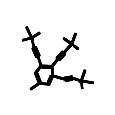 Cc1cc(C#C[Si](C)(C)C)c(C#C[Si](C)(C)C)c(C#C[Si](C)(C)C)c1